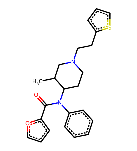 CC1CN(CCc2cccs2)CCC1N(C(=O)c1ccco1)c1ccccc1